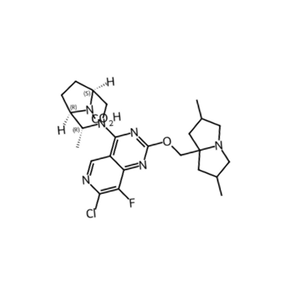 CC1CN2CC(C)CC2(COc2nc(N3C[C@@H]4CC[C@H]([C@H]3C)N4C(=O)O)c3cnc(Cl)c(F)c3n2)C1